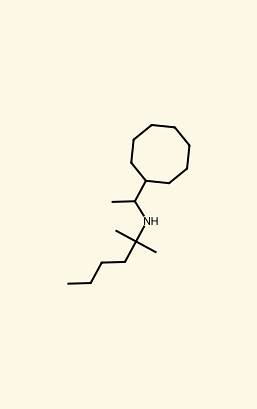 CCCCC(C)(C)NC(C)C1CCCCCCC1